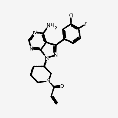 C=CC(=O)N1CCCC(n2nc(-c3ccc(F)c(Cl)c3)c3c(N)ncnc32)C1